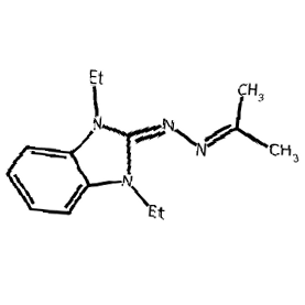 CCn1c(=NN=C(C)C)n(CC)c2ccccc21